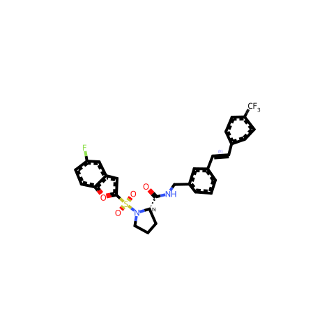 O=C(NCc1cccc(/C=C/c2ccc(C(F)(F)F)cc2)c1)[C@@H]1CCCN1S(=O)(=O)c1cc2cc(F)ccc2o1